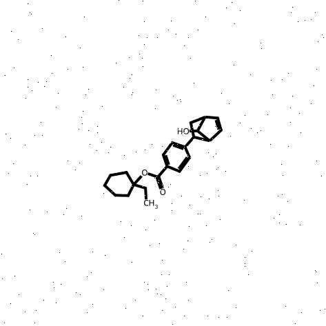 CCC1(OC(=O)c2ccc(C3CC4C=CC3C4O)cc2)CCCCC1